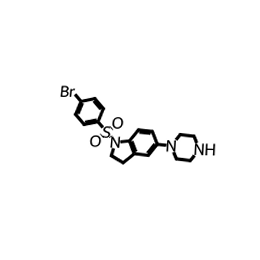 O=S(=O)(c1ccc(Br)cc1)N1CCc2cc(N3CCNCC3)ccc21